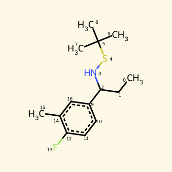 CCC(NSC(C)(C)C)c1ccc(F)c(C)c1